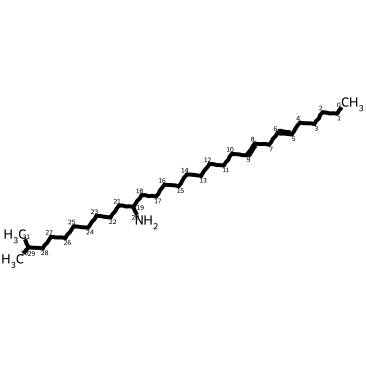 CCCCCC=CCC=CCCCCCCCCCC(N)CCCCCCCCC(C)C